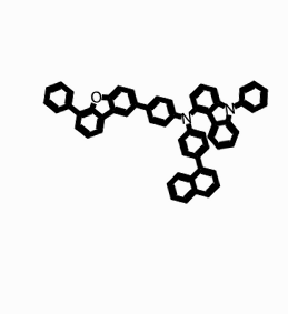 c1ccc(-c2cccc3c2oc2ccc(-c4ccc(N(c5ccc(-c6cccc7ccccc67)cc5)c5cccc6c5c5ccccc5n6-c5ccccc5)cc4)cc23)cc1